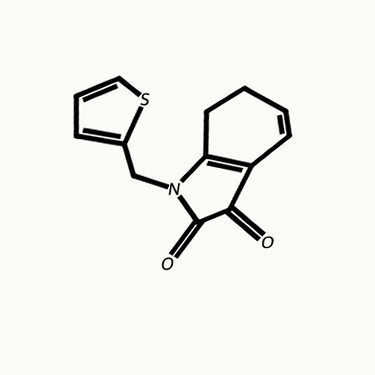 O=C1C(=O)N(Cc2cccs2)C2=C1C=CCC2